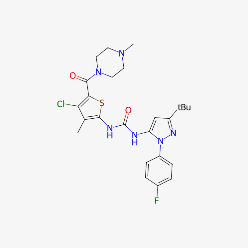 Cc1c(NC(=O)Nc2cc(C(C)(C)C)nn2-c2ccc(F)cc2)sc(C(=O)N2CCN(C)CC2)c1Cl